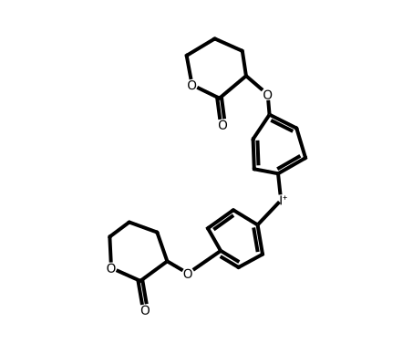 O=C1OCCCC1Oc1ccc([I+]c2ccc(OC3CCCOC3=O)cc2)cc1